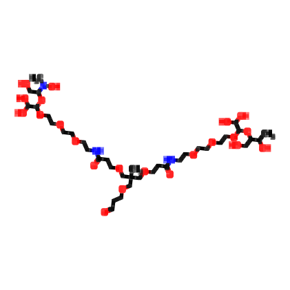 CC(O)C(CO)OC(OCCOCCOCCNC(=O)CCOCC(C)(COCCC=O)COCCC(=O)NCCOCCOCCOC(OC(CO)N(C)O)C(O)O)C(O)O